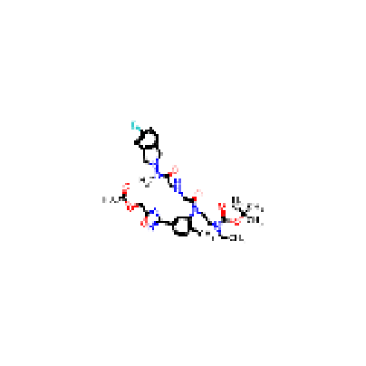 CCN(CCN(C(=O)CNCC(=O)N(C)N1Cc2ccc(F)cc2C1)c1cc(-c2noc(COC(C)=O)n2)ccc1C)C(=O)OC(C)(C)C